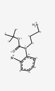 CC(C)(C)OC(=O)N(CCCN)c1ccccc1Br